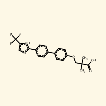 CC(C)(COc1ccc(-c2ccc(-c3ncc(C(F)(F)F)[nH]3)nc2)cc1)C(=O)O